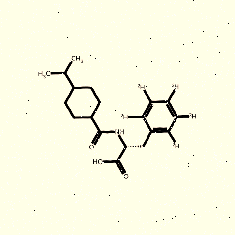 [2H]c1c([2H])c([2H])c(C[C@@H](NC(=O)C2CCC(C(C)C)CC2)C(=O)O)c([2H])c1[2H]